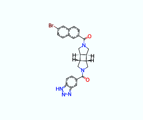 O=C(c1ccc2cc(Br)ccc2c1)N1C[C@@H]2[C@H](C1)[C@H]1CN(C(=O)c3ccc4[nH]nnc4c3)C[C@@H]21